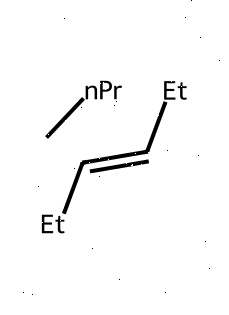 CC/C=C/CC.CCCC